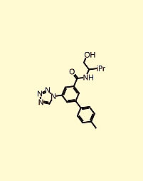 Cc1ccc(-c2cc(C(=O)NC(CO)C(C)C)cc(-n3cnnn3)c2)cc1